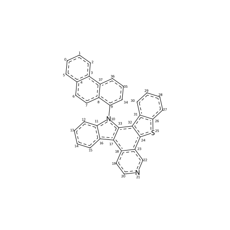 c1ccc2c(c1)ccc1c(-n3c4ccccc4c4c5ccncc5c5sc6ccccc6c5c43)cccc12